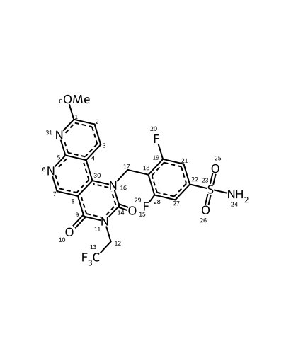 COc1ccc2c(ncc3c(=O)n(CC(F)(F)F)c(=O)n(Cc4c(F)cc(S(N)(=O)=O)cc4F)c32)n1